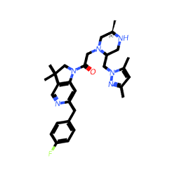 Cc1cc(C)n(CC2CN[C@H](C)CN2CC(=O)N2CC(C)(C)c3cnc(Cc4ccc(F)cc4)cc32)n1